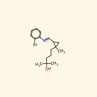 CC(=O)c1ccccc1/N=C/C1CC1(C)CCCC(C)(C)O